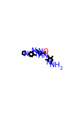 Cc1cc(N)nc(C)c1CNC(=O)c1cn2c(n1)C=Nc1cc(N3CCCC3)ccc1C2